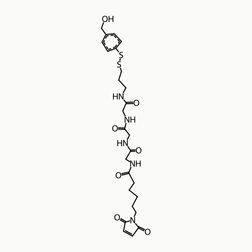 O=C(CCCCCN1C(=O)C=CC1=O)NCC(=O)NCC(=O)NCC(=O)NCCCSSc1ccc(CO)cc1